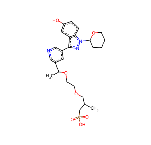 CC(COCCOC(C)c1cncc(-c2nn(C3CCCCO3)c3ccc(O)cc23)c1)CS(=O)(=O)O